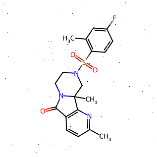 Cc1ccc2c(n1)C1(C)CN(S(=O)(=O)c3ccc(F)cc3C)CCN1C2=O